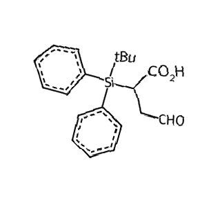 CC(C)(C)[Si](c1ccccc1)(c1ccccc1)C(CC=O)C(=O)O